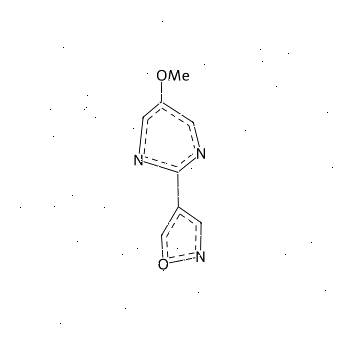 COc1cnc(-c2cnoc2)nc1